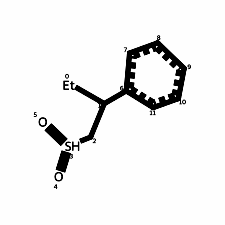 [CH2]CC(C[SH](=O)=O)c1ccccc1